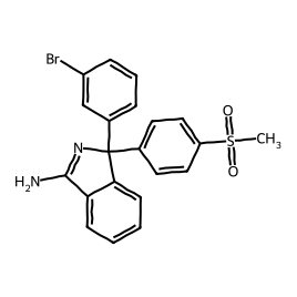 CS(=O)(=O)c1ccc(C2(c3cccc(Br)c3)N=C(N)c3ccccc32)cc1